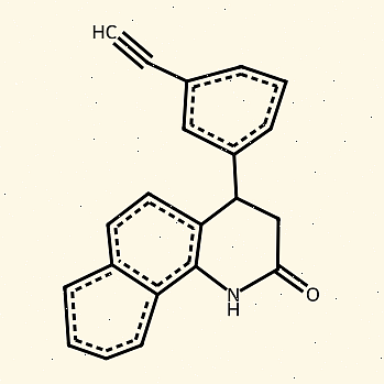 C#Cc1cccc(C2CC(=O)Nc3c2ccc2ccccc32)c1